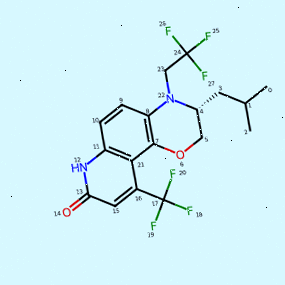 CC(C)C[C@@H]1COc2c(ccc3[nH]c(=O)cc(C(F)(F)F)c23)N1CC(F)(F)F